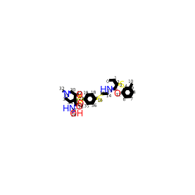 CC=C(Sc1ccccc1C)C(=O)NCCSc1ccc(S(=O)(=O)C2(C(=O)NO)CCN(C)CC2)cc1